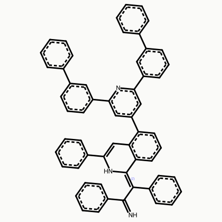 N=C(/C(=C1\NC(c2ccccc2)=Cc2c1cccc2-c1cc(-c2cccc(-c3ccccc3)c2)nc(-c2cccc(-c3ccccc3)c2)c1)c1ccccc1)c1ccccc1